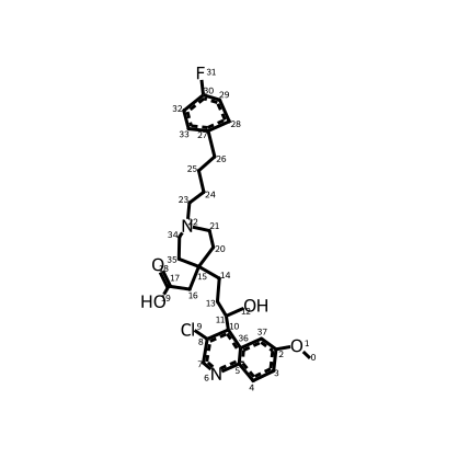 COc1ccc2ncc(Cl)c(C(O)CCC3(CC(=O)O)CCN(CCCCc4ccc(F)cc4)CC3)c2c1